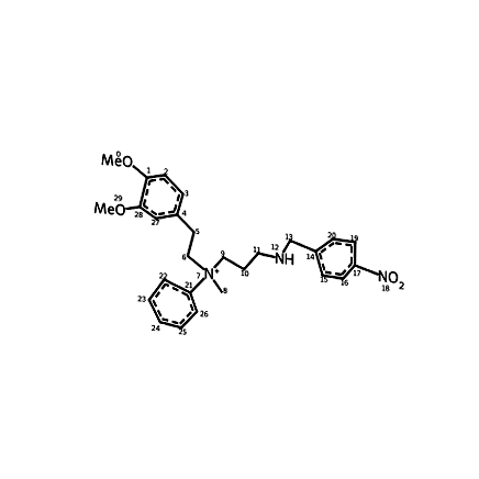 COc1ccc(CC[N+](C)(CCCNCc2ccc([N+](=O)[O-])cc2)c2ccccc2)cc1OC